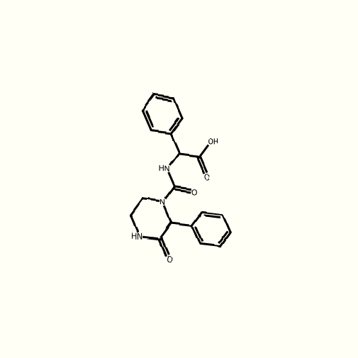 O=C(O)C(NC(=O)N1CCNC(=O)C1c1ccccc1)c1ccccc1